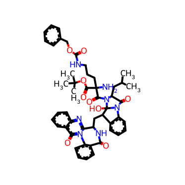 CC(C)CC1C(=O)N2c3ccccc3C(CC3NC(=O)c4ccccc4-n4c3nc3ccccc3c4=O)C2(O)N1C(=O)C(N)(CCCNC(=O)OCc1ccccc1)C(=O)OC(C)(C)C